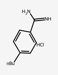 CCCCc1ccc(C(=N)N)cc1.Cl